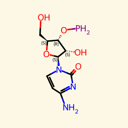 Nc1ccn([C@H]2O[C@@H](CO)[C@H](OP)[C@@H]2O)c(=O)n1